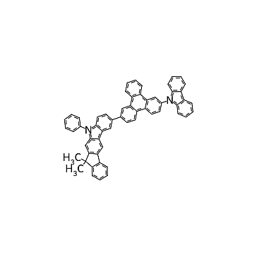 CC1(C)c2ccccc2-c2cc3c4cc(-c5ccc6c7ccc(-n8c9ccccc9c9ccccc98)cc7c7ccccc7c6c5)ccc4n(-c4ccccc4)c3cc21